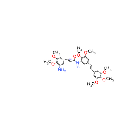 COc1cc(/C=C/C(=O)Nc2cc(C=Cc3cc(OC)c(OC)c(OC)c3)cc(OC)c2OC)cc(N)c1OC